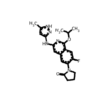 Cc1cc(Nc2cc3cc(N4CCCC4=O)c(F)cc3c(OC(C)C)n2)n[nH]1